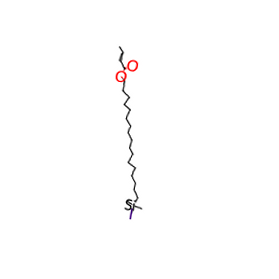 CC=CC(=O)OCCCCCCCCCCCCCCCCC[Si](C)(C)I